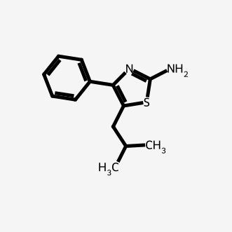 CC(C)Cc1sc(N)nc1-c1ccccc1